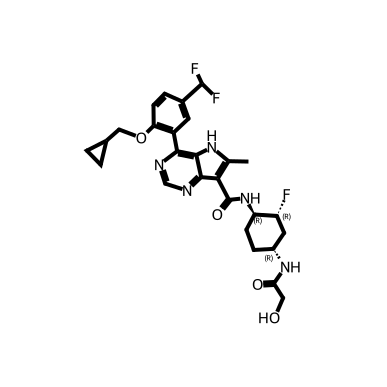 Cc1[nH]c2c(-c3cc(C(F)F)ccc3OCC3CC3)ncnc2c1C(=O)N[C@@H]1CC[C@@H](NC(=O)CO)C[C@H]1F